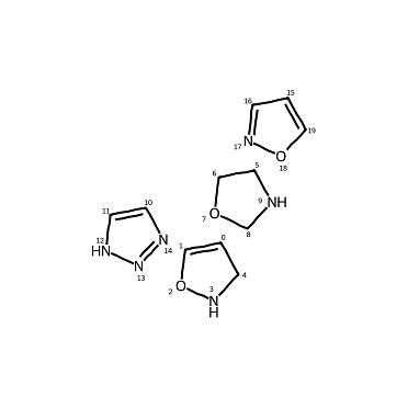 C1=CONC1.C1COCN1.c1c[nH]nn1.c1cnoc1